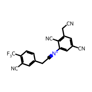 N#CCc1cc(C#N)cc([N+]#CCc2ccc(C(F)(F)F)c(C#N)c2)c1C#N